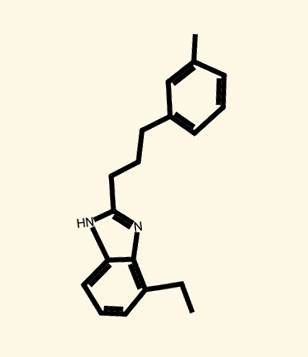 CCc1cccc2[nH]c(CCCc3cccc(C)c3)nc12